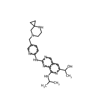 CC(C)Nc1nc(C(C)O)cc2cnc(Nc3ccc(CN4CCNC5(CC5)C4)cn3)nc12